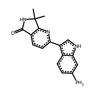 CC1(C)NC(=O)c2ccc(-c3c[nH]c4cc(P)ccc34)nc21